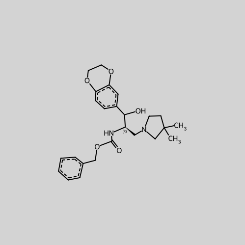 CC1(C)CCN(C[C@@H](NC(=O)OCc2ccccc2)C(O)c2ccc3c(c2)OCCO3)C1